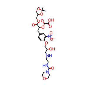 CC1(C)OCC(COC(=O)C(Cc2ccc(OCC(O)CNCCNC(=O)N3CCOCC3)c([N+](=O)[O-])c2)OC(=O)C(=O)O)O1